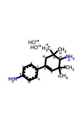 CC1(C)C=C(c2ccc(N)cc2)CC(C)(C)C1N.Cl.Cl